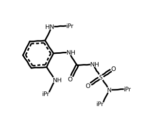 CC(C)Nc1cccc(NC(C)C)c1NC(=O)NS(=O)(=O)N(C(C)C)C(C)C